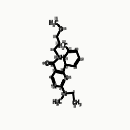 CCN(C)c1ncc(C(=O)NCCCOC)c(C2C=CC=C(C)C2)n1